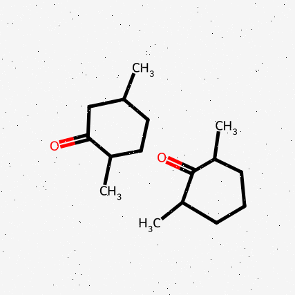 CC1CCC(C)C(=O)C1.CC1CCCC(C)C1=O